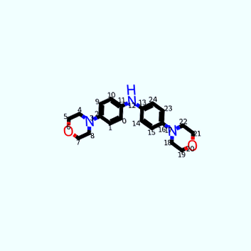 c1cc(N2CCOCC2)ccc1Nc1ccc(N2CCOCC2)cc1